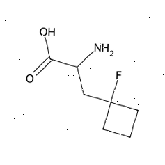 NC(CC1(F)CCC1)C(=O)O